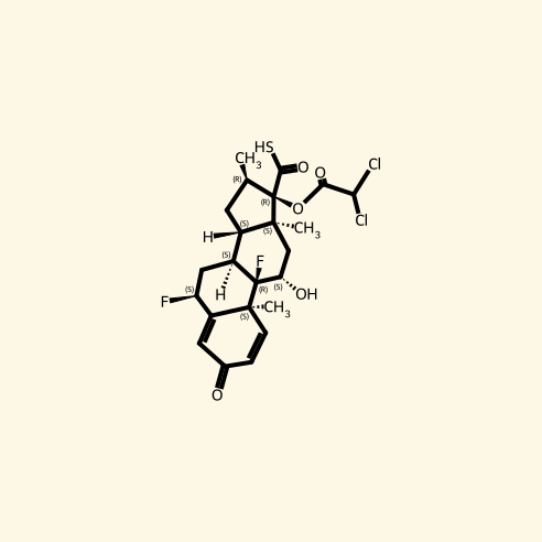 C[C@@H]1C[C@H]2[C@@H]3C[C@H](F)C4=CC(=O)C=C[C@]4(C)[C@@]3(F)[C@@H](O)C[C@]2(C)[C@@]1(OC(=O)C(Cl)Cl)C(=O)S